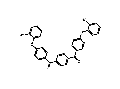 O=C(c1ccc(Oc2ccccc2O)cc1)c1ccc(C(=O)c2ccc(Oc3ccccc3O)cc2)cc1